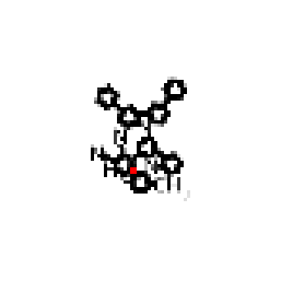 Cc1cccc(C)c1-n1c2ccccc2c2cc(-n3c4ccc(-c5ccccc5)cc4c4cc(-c5ccccc5)ccc43)cc(-c3cccc(C#N)c3C#N)c21